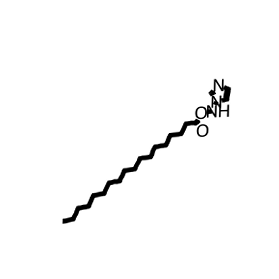 CCCCCCCCCCCCCCCCCC(=O)ONn1ccnc1